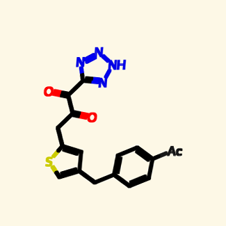 CC(=O)c1ccc(Cc2csc(CC(=O)C(=O)c3nn[nH]n3)c2)cc1